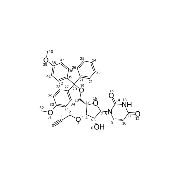 C#CCO[C@H]1[C@@H](O)[C@H](n2ccc(=O)[nH]c2=O)O[C@@H]1COC(c1ccccc1)(c1ccc(OC)cc1)c1ccc(OC)cc1